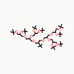 CC(C)(C)OCC(COCC(COCC(COCC(COCC(COC(C)(C)C)OC(C)(C)C)OCC(COC(C)(C)C)OC(C)(C)C)C(C)(C)C)OCC(COC(C)(C)C)OC(C)(C)C)OC(C)(C)C